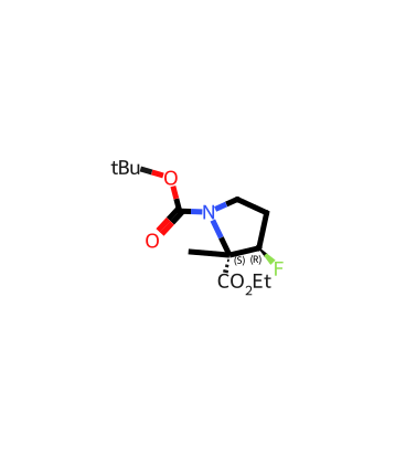 CCOC(=O)[C@@]1(C)[C@H](F)CCN1C(=O)OC(C)(C)C